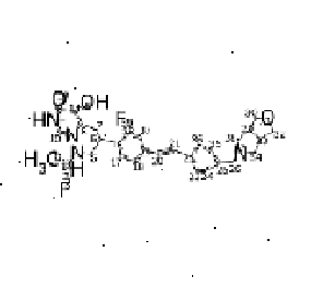 C[C@@H](CF)NCC(Cc1nc[nH]c(=O)c1O)c1ccc(C#Cc2ccc(CN3CC4COCC4C3)cc2)cc1F